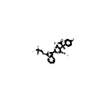 CC1(c2ccc(F)cc2)C(=O)Nc2nc(-c3nc(CCC(F)(F)C(F)(F)F)n4ccccc34)nc(N)c21